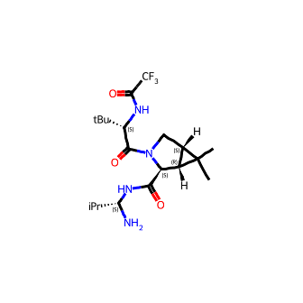 CC(C)[C@@H](N)NC(=O)[C@@H]1[C@@H]2[C@H](CN1C(=O)[C@@H](NC(=O)C(F)(F)F)C(C)(C)C)C2(C)C